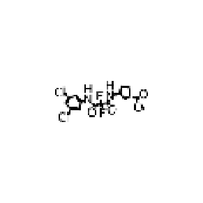 COC(=O)[C@@H]1CCC(NC(=O)C(F)(F)C(=O)Nc2cc(Cl)cc(Cl)c2)C1